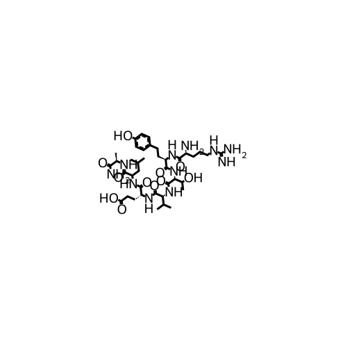 CC(C)CC(NC(=O)[C@@H](CCC(=O)O)NC(=O)[C@H](NC(=O)[C@H](NC(=O)[C@@H](CCc1ccc(O)cc1)NC(=O)[C@H](N)CCCNC(=N)N)C(C)O)C(C)C)C(=O)N[C@H](C)C(N)=O